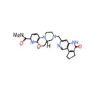 CNC(=O)c1ccc2c(n1)OC[C@H]1CN(Cc3cc4[nH]c(=O)c5c(c4cn3)CCC5)CCN21